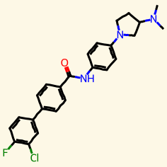 CN(C)C1CCN(c2ccc(NC(=O)c3ccc(-c4ccc(F)c(Cl)c4)cc3)cc2)C1